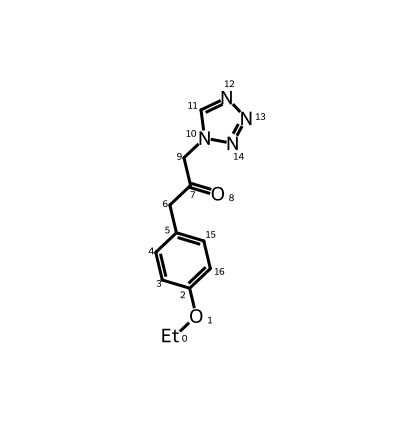 CCOc1ccc(CC(=O)Cn2cnnn2)cc1